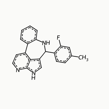 Cc1ccc(C2Nc3ccccc3-c3ccnc4[nH]cc2c34)c(F)c1